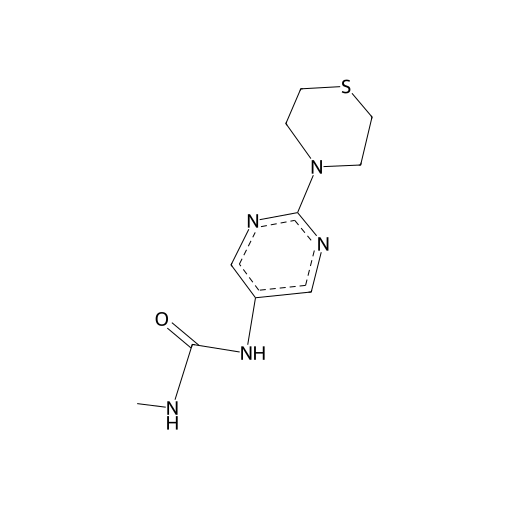 CNC(=O)Nc1cnc(N2CCSCC2)nc1